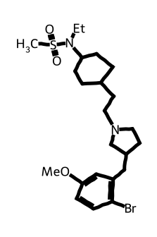 CCN(C1CCC(CCN2CCC(Cc3cc(OC)ccc3Br)C2)CC1)S(C)(=O)=O